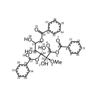 CO[C@](O)(C(=O)OC(=O)c1ccccc1)[C@@](O)(OC(=O)c1ccccc1)[C@H](O)C(O)OC(=O)c1ccccc1